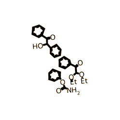 CCOC(OCC)C(=O)c1ccccc1.NC(=O)Oc1ccccc1.O=C(c1ccccc1)C(O)c1ccccc1